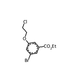 CCOC(=O)c1cc(Br)cc(OCCCl)c1